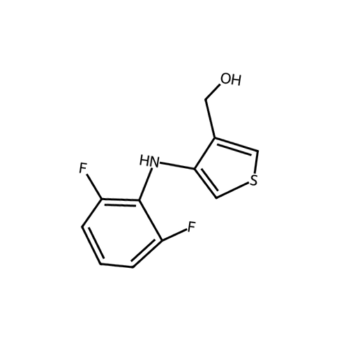 OCc1cscc1Nc1c(F)cccc1F